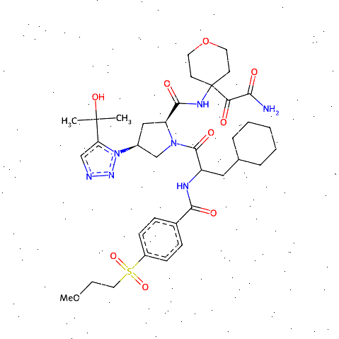 COCCS(=O)(=O)c1ccc(C(=O)NC(CC2CCCCC2)C(=O)N2C[C@@H](n3nncc3C(C)(C)O)C[C@H]2C(=O)NC2(C(=O)C(N)=O)CCOCC2)cc1